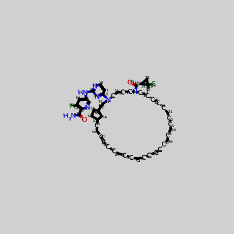 NC(=O)c1ncc(Nc2nccc(N3CCCCN(C(=O)[C@@H]4CC4(F)F)CCCCCCCCCCCCCCCCCCCCCCCCCCC4CC[C@H](C4)C3)n2)cc1F